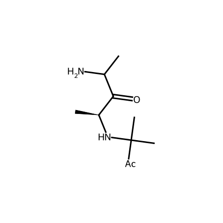 CC(=O)C(C)(C)N[C@@H](C)C(=O)C(C)N